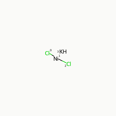 [Cl][Ni][Cl].[KH]